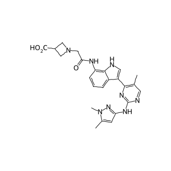 Cc1cnc(Nc2cc(C)n(C)n2)nc1-c1c[nH]c2c(NC(=O)CN3CC(C(=O)O)C3)cccc12